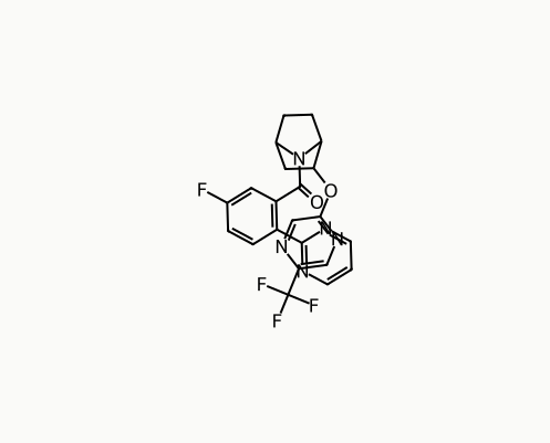 O=C(c1cc(F)ccc1-c1ncccn1)N1C2CCC1C(Oc1cnc(C(F)(F)F)cn1)C2